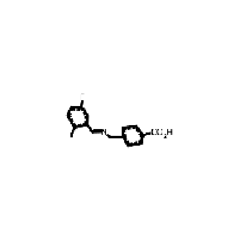 Cc1ccc(F)cc1C=NCc1ccc(C(=O)O)cc1